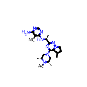 CC(=O)N1[C@H](C)CN(c2nc([C@H](C)Nc3ncnc(N)c3C#N)nn3ccc(C)c23)C[C@@H]1C